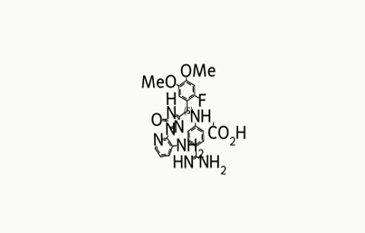 CC(=O)O.COc1cc(F)c([C@H](Nc2ccc(C(=N)N)cc2)c2nn(-c3ncccc3N)c(=O)[nH]2)cc1OC